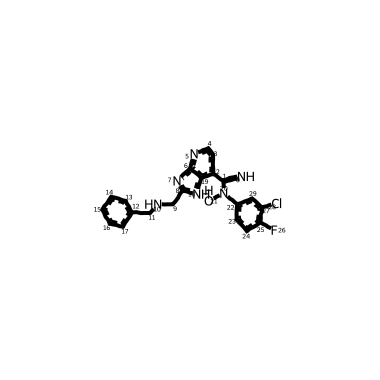 N=C(c1ccnc2nc(CNCc3ccccc3)[nH]c12)N(O)c1ccc(F)c(Cl)c1